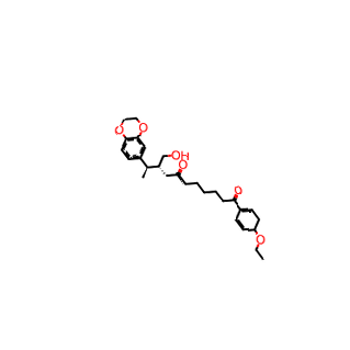 CCOC1C=CC(C(=O)CCCCCC(=O)C[C@@H](CO)[C@@H](C)c2ccc3c(c2)OCCO3)=CC1